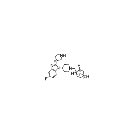 CC1(C)[C@H]2CC[C@@H](CN3CCC(n4c([C@@H]5CCNC5)nc5cc(F)ccc54)CC3)[C@@H]1C2